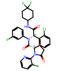 O=C(NC1CCC(F)(F)CC1)[C@H](c1ccccc1Cl)N(C(=O)[C@@H]1CCC(=O)N1c1ncccc1F)c1cccc(F)c1